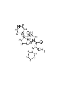 CC(CC1CCCCC1)C(=O)N1CCC(O)(CN2C=CN=CC2)C2(CCCC2)C1